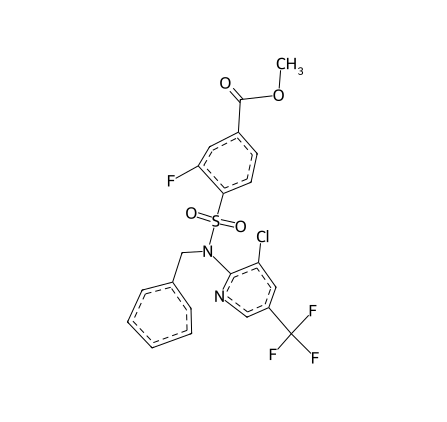 COC(=O)c1ccc(S(=O)(=O)N(Cc2ccccc2)c2ncc(C(F)(F)F)cc2Cl)c(F)c1